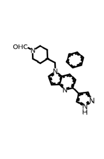 O=CN1CCC(Cn2ccc3nc(-c4cn[nH]c4)ccc32)CC1.c1ccccc1